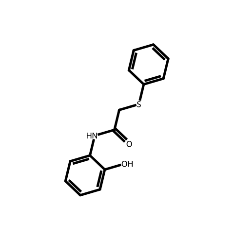 O=C(CSc1ccccc1)Nc1ccccc1O